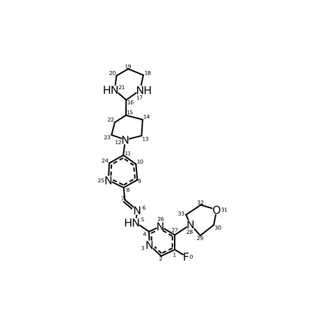 Fc1cnc(N/N=C/c2ccc(N3CCC(C4NCCCN4)CC3)cn2)nc1N1CCOCC1